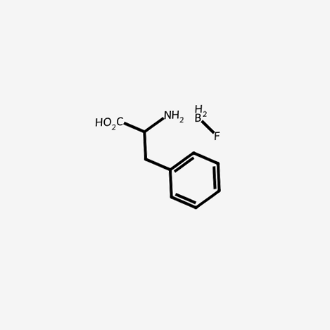 BF.NC(Cc1ccccc1)C(=O)O